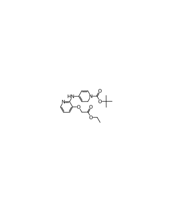 CCOC(=O)COc1cccnc1NC1=CCN(C(=O)OC(C)(C)C)C=C1